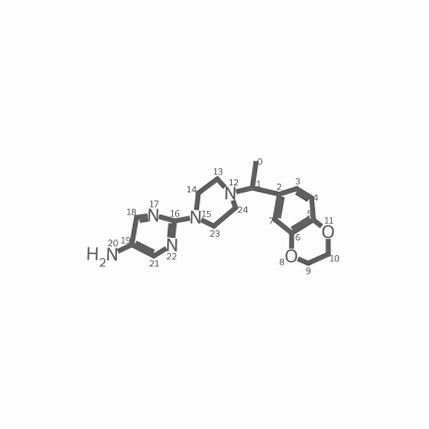 CC(c1ccc2c(c1)OCCO2)N1CCN(c2ncc(N)cn2)CC1